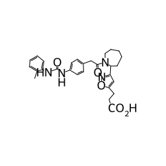 Cc1ccccc1NC(=O)Nc1ccc(CC(=O)N2CCCCCC2c2cc(CCC(=O)O)on2)cc1